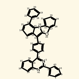 c1ccc(-c2nc(-c3ccc(-c4c5cccc(-c6ccccc6)c5n5c4oc4ccccc45)cc3)c3ccccc3n2)cc1